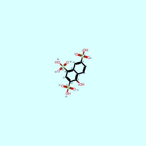 O=S(=O)(O)c1ccc2c(O)c(S(=O)(=O)O)cc(S(=O)(=O)O)c2c1